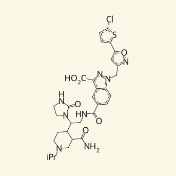 CC(C)N1CCC(C(CNC(=O)c2ccc3c(c2)c(C(=O)O)nn3Cc2cc(-c3ccc(Cl)s3)on2)N2CCNC2=O)C(C(N)=O)C1